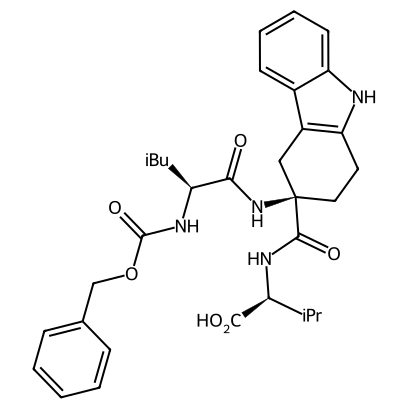 CCC(C)[C@H](NC(=O)OCc1ccccc1)C(=O)N[C@]1(C(=O)N[C@H](C(=O)O)C(C)C)CCc2[nH]c3ccccc3c2C1